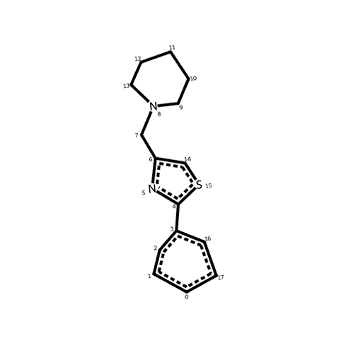 c1ccc(-c2nc(CN3CCCCC3)cs2)cc1